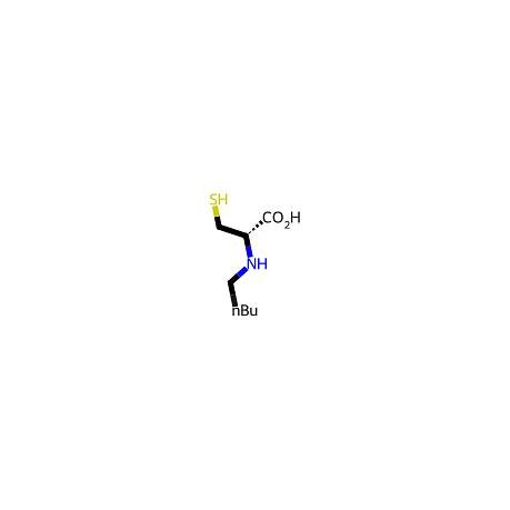 CCCCCN[C@H](CS)C(=O)O